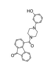 O=C1c2ccccc2-c2c1cccc2C(=O)N1CCN(c2cccc(O)c2)CC1